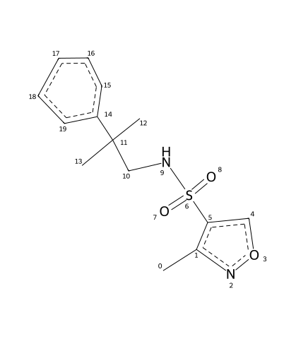 Cc1nocc1S(=O)(=O)NCC(C)(C)c1ccccc1